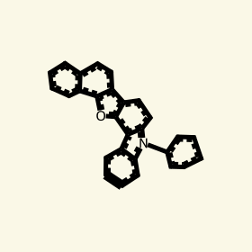 c1cc2c3c4oc5c6ccccc6ccc5c4ccc3n(-c3ccccc3)c2cc#1